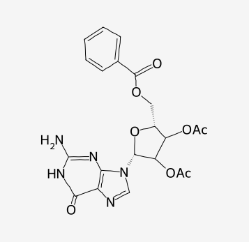 CC(=O)OC1C(OC(C)=O)[C@@H](COC(=O)c2ccccc2)O[C@H]1n1cnc2c(=O)[nH]c(N)nc21